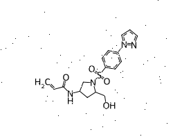 C=CC(=O)NC1CC(CO)N(S(=O)(=O)c2ccc(-n3cccn3)cc2)C1